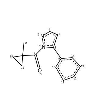 CC1(C(=O)n2nccc2-c2ccccc2)CC1